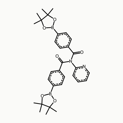 CC1(C)OB(c2ccc(C(=O)N(C(=O)c3ccc(B4OC(C)(C)C(C)(C)O4)cc3)c3ccccn3)cc2)OC1(C)C